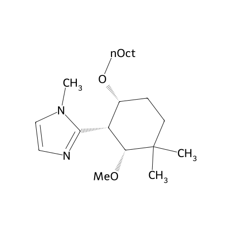 CCCCCCCCO[C@@H]1CCC(C)(C)[C@H](OC)[C@@H]1c1nccn1C